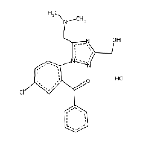 CN(C)Cc1nc(CO)nn1-c1ccc(Cl)cc1C(=O)c1ccccc1.Cl